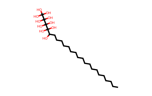 CCCCCCCCCCCCCCCCCCCC(O)C(O)(O)C(O)(O)C(O)(O)C(O)(O)O